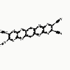 [C-]#[N+]c1nc2nc3cc4nc5nc(C#N)c(C#N)nc5nc4cc3nc2nc1[N+]#[C-]